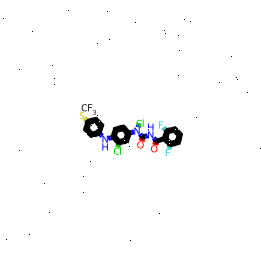 O=C(NC(=O)N(Cl)c1ccc(Nc2ccc(SC(F)(F)F)cc2)c(Cl)c1)c1c(F)cccc1F